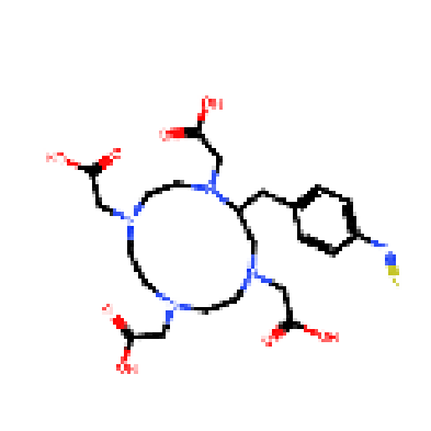 O=C(O)CN1CCN(CC(=O)O)CCN(CC(=O)O)C(Cc2ccc(N=S)cc2)CN(CC(=O)O)CC1